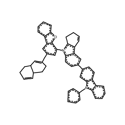 C1=Cc2c(n(-c3cc(C4=CC5CCC=CC5CC4)cc4c3oc3ccccc34)c3ccc(-c4ccc5c6ccccc6n(-c6ccccc6)c5c4)cc23)CC1